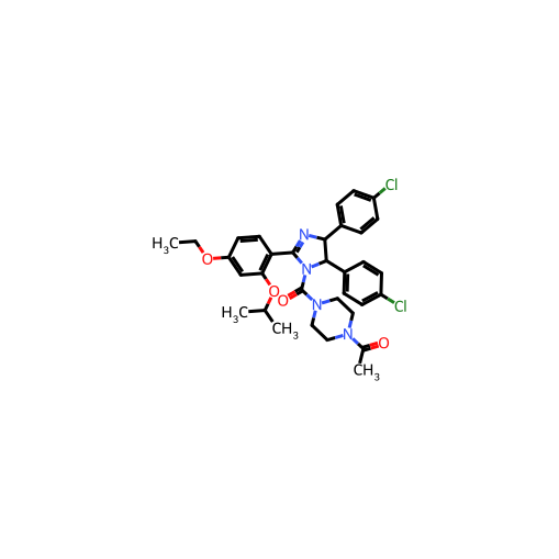 CCOc1ccc(C2=NC(c3ccc(Cl)cc3)C(c3ccc(Cl)cc3)N2C(=O)N2CCN(C(C)=O)CC2)c(OC(C)C)c1